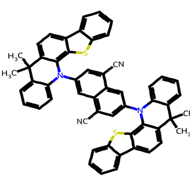 CC1(C)c2ccccc2N(c2cc(C#N)c3cc(N4c5ccccc5C(C)(C)c5ccc6c(sc7ccccc76)c54)cc(C#N)c3c2)c2c1ccc1c2sc2ccccc21